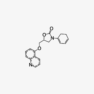 O=C1OC(COc2cccc3ncccc23)CN1C1=CC=CCC1